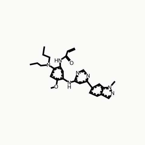 C=CC(=O)Nc1cc(Nc2cc(-c3ccc4cnn(C)c4c3)ncn2)c(OC)cc1N(CCC)CCC